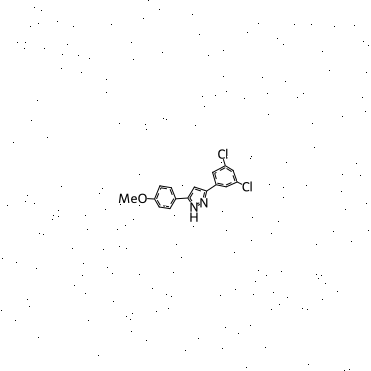 COc1ccc(-c2cc(-c3cc(Cl)cc(Cl)c3)n[nH]2)cc1